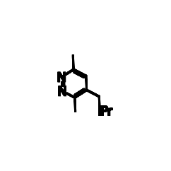 Cc1cc(CC(C)C)c(C)nn1